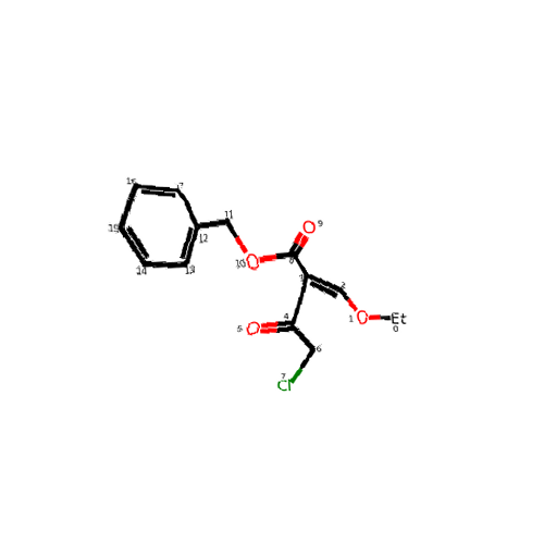 CCO/C=C(\C(=O)CCl)C(=O)OCc1ccccc1